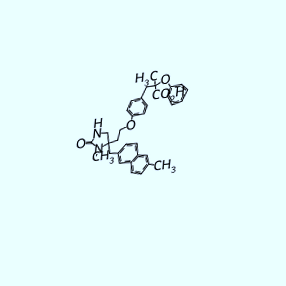 Cc1ccc2cc(CC3(CCOc4ccc(CC(C)(Oc5ccccc5)C(=O)O)cc4)CNC(=O)N3C)ccc2c1